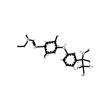 CCN(C)C=Nc1cc(C)c(Oc2cccc(C(C)(OC)C(F)(F)F)c2)cc1C